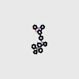 c1ccc([Si](c2ccccc2)(c2ccccc2)c2ccc3c(c2)c2ccccc2n3-c2ccc(-c3cc4c5c(c3)c3ccccc3n5-c3ccccc3O4)cc2)cc1